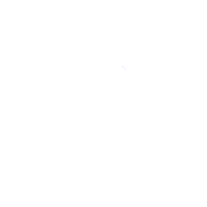 NCCCc1ccccc1C#CC1CCCCC1O